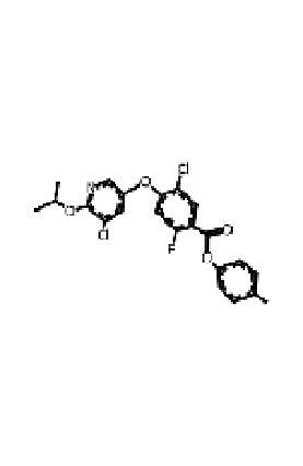 Cc1ccc(OC(=O)c2cc(Cl)c(Oc3cnc(OC(C)C)c(Cl)c3)cc2F)cc1